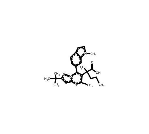 CCCC(C)(C(=O)O)c1c(C)nc2cc(C(C)(C)C)nn2c1-c1ccc2ccn(C)c2c1